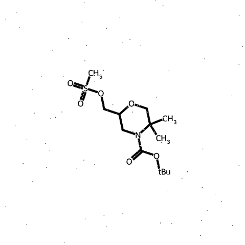 CC(C)(C)OC(=O)N1CC(COS(C)(=O)=O)OCC1(C)C